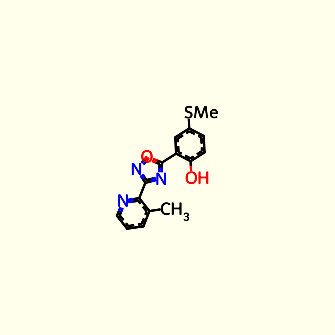 CSc1ccc(O)c(-c2nc(-c3ncccc3C)no2)c1